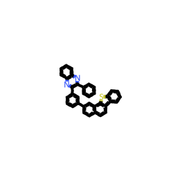 c1ccc(-c2nc3ccccc3nc2-c2cccc(-c3ccc4ccc5c6ccccc6sc5c4c3)c2)cc1